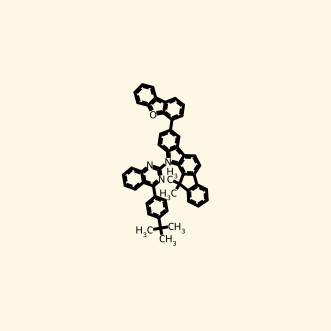 CC(C)(C)c1ccc(-c2nc(-n3c4ccc(-c5cccc6c5oc5ccccc56)cc4c4ccc5c(c43)C(C)(C)c3ccccc3-5)nc3ccccc23)cc1